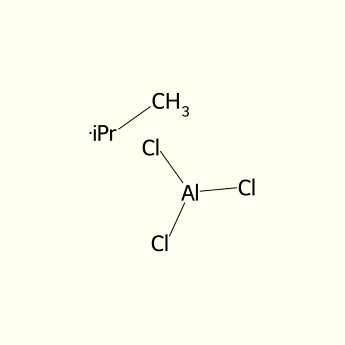 C[C](C)C.[Cl][Al]([Cl])[Cl]